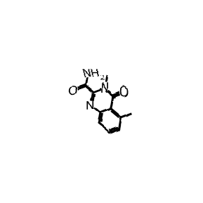 Cc1cccc2nc(C(N)=O)n(C)c(=O)c12